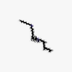 CCCCCCCC/C=C\CCCCCCCC(=O)OC(=O)/C=C(\C)CCC[C@H](C)CCC[C@H](C)CCCC(C)C